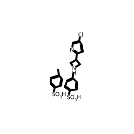 Cc1ccc(S(=O)(=O)O)cc1.Cc1ccc(S(=O)(=O)O)cc1.Clc1ccc(C2CNC2)nc1